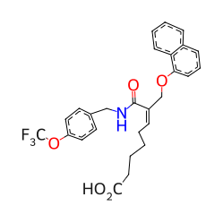 O=C(O)CCCCC=C(COc1cccc2ccccc12)C(=O)NCc1ccc(OC(F)(F)F)cc1